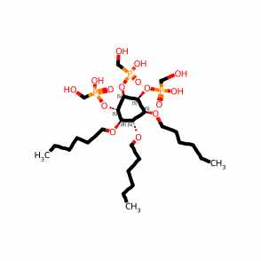 CCCCCCO[C@@H]1[C@@H](OCCCCCC)[C@H](OP(=O)(O)CO)[C@@H](OP(=O)(O)CO)[C@@H](OP(=O)(O)CO)[C@H]1OCCCCCC